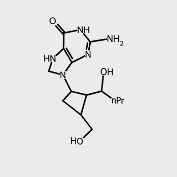 CCCC(O)C1C(CO)CC1N1CNc2c1nc(N)[nH]c2=O